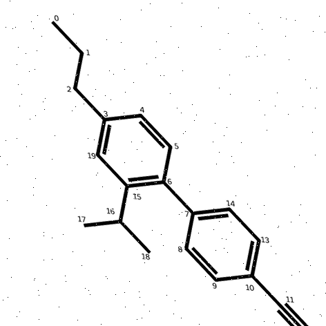 CCCc1ccc(-c2ccc(C#N)cc2)c(C(C)C)c1